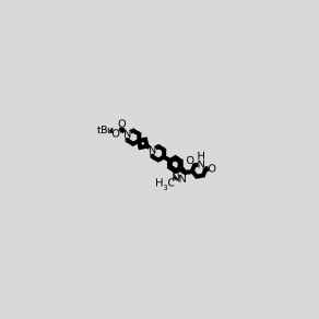 Cn1nc(C2CCC(=O)NC2=O)c2ccc(C3CCN(C4CC5(CCN(C(=O)OC(C)(C)C)CC5)C4)CC3)cc21